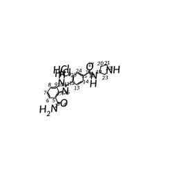 Cl.Cl.NC(=O)c1cccc2[nH]c(-c3ccc(C(=O)N[C@@H]4CCNC4)cc3)nc12